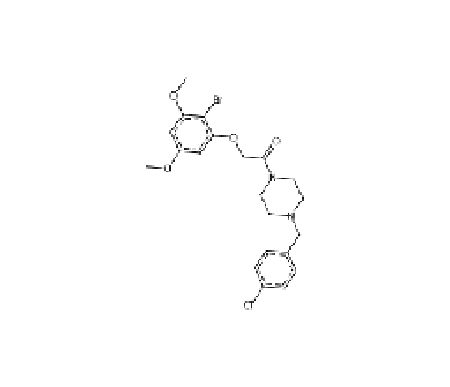 COc1cc(OC)c(Br)c(OCC(=O)N2CCN(Cc3ccc(Cl)cc3)CC2)c1